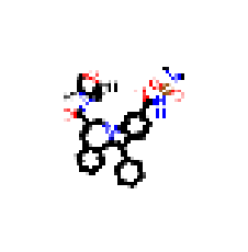 CN(C)S(=O)(=O)NC(=O)c1ccc2c(C3CCCCC3)c3n(c2c1)CC(C(=O)N1C[C@@H]2C[C@H]1CO2)=Cc1ccccc1-3